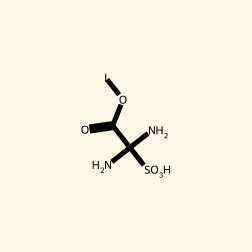 NC(N)(C(=O)OI)S(=O)(=O)O